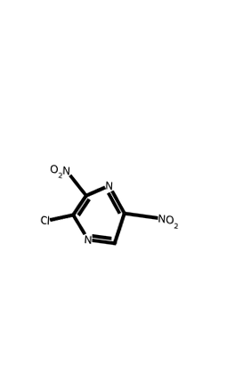 O=[N+]([O-])c1cnc(Cl)c([N+](=O)[O-])n1